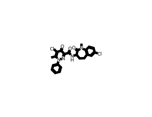 Cc1c(Cl)c(=O)c(C(=O)NC2CCc3cc(Cl)ccc3N(C)C2=O)nn1-c1ccccc1